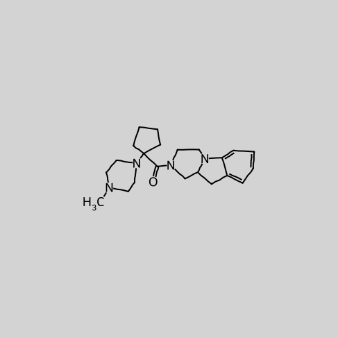 CN1CCN(C2(C(=O)N3CCN4c5ccccc5CC4C3)CCCC2)CC1